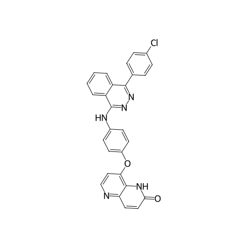 O=c1ccc2nccc(Oc3ccc(Nc4nnc(-c5ccc(Cl)cc5)c5ccccc45)cc3)c2[nH]1